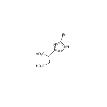 CCc1nc(C(CC(=O)O)C(=O)O)c[nH]1